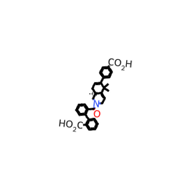 CC1(C)C(c2ccc(C(=O)O)cc2)=CC[C@]2(C)CN(C(=O)c3ccccc3-c3ccccc3C(=O)O)CC=C12